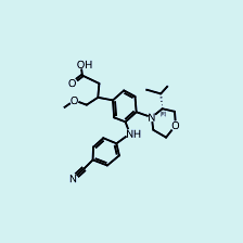 COCC(CC(=O)O)c1ccc(N2CCOC[C@H]2C(C)C)c(Nc2ccc(C#N)cc2)c1